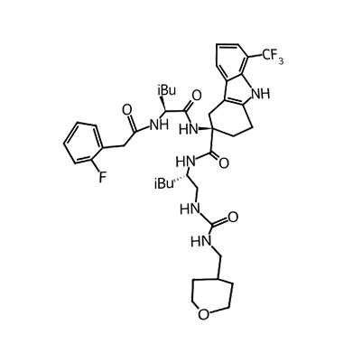 CCC(C)[C@H](NC(=O)Cc1ccccc1F)C(=O)N[C@]1(C(=O)N[C@H](CNC(=O)NCC2CCOCC2)C(C)CC)CCc2[nH]c3c(C(F)(F)F)cccc3c2C1